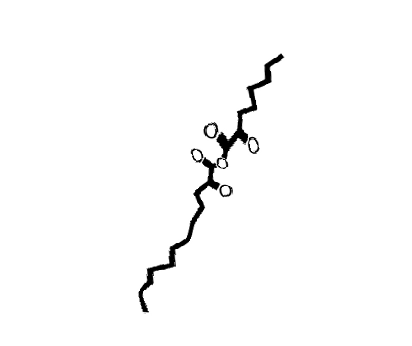 CCCCCCCCCCC(=O)C(=O)OC(=O)C(=O)CCCCCC